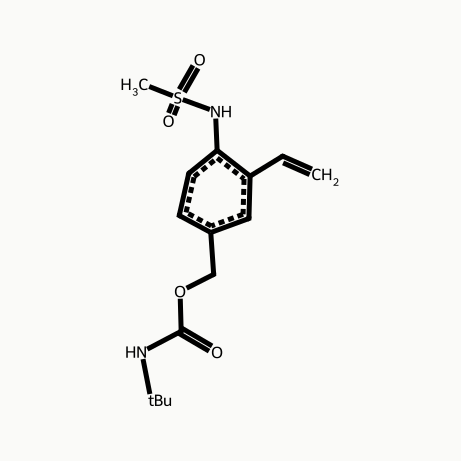 C=Cc1cc(COC(=O)NC(C)(C)C)ccc1NS(C)(=O)=O